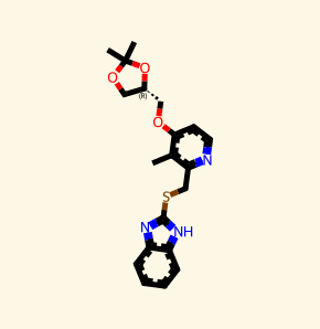 Cc1c(OC[C@@H]2COC(C)(C)O2)ccnc1CSc1nc2ccccc2[nH]1